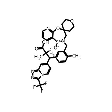 Cc1ccc(C(c2ccn3c(C(F)(F)F)nnc3c2)C(C)(C)C(=O)O)cc1CN1CC2(CCOCC2)Oc2ncccc2[S+]1[O-]